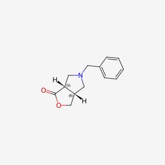 O=C1OC[C@H]2CN(Cc3ccccc3)C[C@@H]12